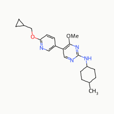 COc1nc(NC2CCC(C)CC2)ncc1-c1ccc(OCC2CC2)nc1